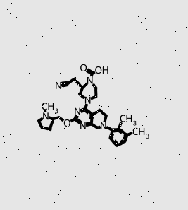 Cc1cccc(N2CCc3c(nc(OCC4CCCN4C)nc3N3CCN(C(=O)O)C(CC#N)C3)C2)c1C